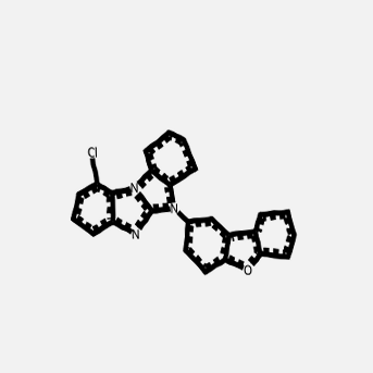 Clc1cccc2nc3n(-c4ccc5oc6ccccc6c5c4)c4ccccc4n3c12